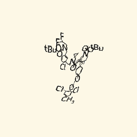 Cc1cc(Cl)c(OCCOc2ccc([C@H]3CCN(C(=O)OC(C)(C)C)C[C@@H]3C(=O)N(Cc3cc(CN(CC(F)F)C(=O)OC(C)(C)C)ccc3Cl)C3CC3)cc2)c(Cl)c1